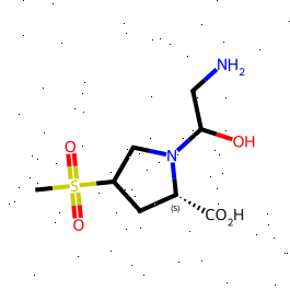 CS(=O)(=O)C1C[C@@H](C(=O)O)N(C(O)CN)C1